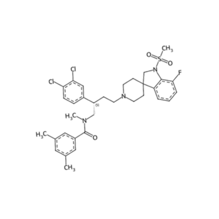 Cc1cc(C)cc(C(=O)N(C)C[C@@H](CCN2CCC3(CC2)CN(S(C)(=O)=O)c2c(F)cccc23)c2ccc(Cl)c(Cl)c2)c1